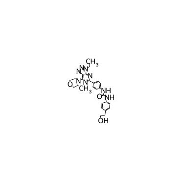 CCn1nnc2c(N3CCOCC3C)nc(-c3ccc(NC(=O)Nc4ccc(CCO)cc4)cc3)nc21